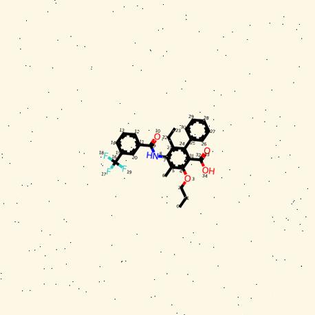 CCCOc1c(C)c(NC(=O)c2cccc(C(F)(F)F)c2)c(CC)c(-c2ccccc2)c1C(=O)O